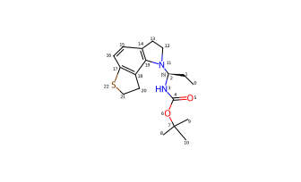 CC[C@@H](NC(=O)OC(C)(C)C)N1CCc2ccc3c(c21)CCS3